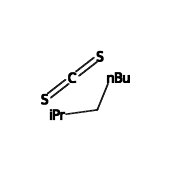 CCCCCC(C)C.S=C=S